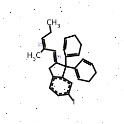 CC/C=C(C)\C=C1/Cc2ccc(I)cc2C1(C1=CCCC=C1)C1=CCCC=C1